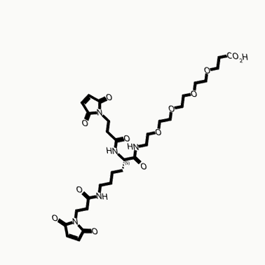 O=C(O)CCOCCOCCOCCOCCNC(=O)[C@H](CCCCNC(=O)CCN1C(=O)C=CC1=O)NC(=O)CCN1C(=O)C=CC1=O